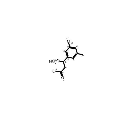 Cc1cc(C(CC(=O)Cl)C(=O)O)cc(C(F)(F)F)c1